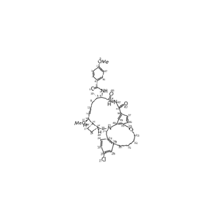 COc1ccc(C(=O)NC2[C@@H](C)C/C=C/[C@H](OC)[C@@H]3CC[C@H]3CN3Cc4ccc(Cl)cc4CCCCOc4ccc(cc43)C(=O)/N=[SH]\2=O)cc1